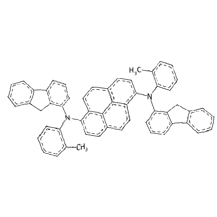 Cc1ccccc1N(c1cccc2c1Cc1ccccc1-2)c1ccc2ccc3c(N(c4ccccc4C)c4cccc5c4Cc4ccccc4-5)ccc4ccc1c2c43